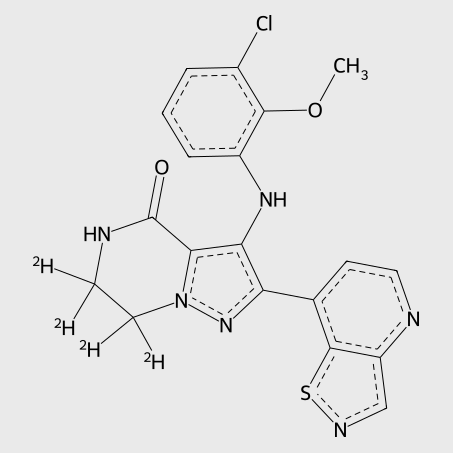 [2H]C1([2H])NC(=O)c2c(Nc3cccc(Cl)c3OC)c(-c3ccnc4cnsc34)nn2C1([2H])[2H]